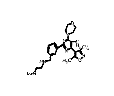 CNCCNCc1cccc(-c2nc(-c3c(C)noc3C)c(C)c(N3CCOCC3)n2)c1